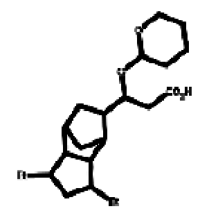 CCC1CC(CC)C2C3CC(CC3C(CC(=O)O)OC3CCCCO3)C12